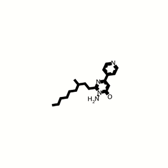 CCCCCCC(C)CCc1nc(-c2ccncc2)cc(=O)n1N